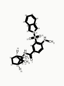 CNc1ccc(C(=O)N[C@H]2C[C@H]3CC[C@@H]2C3(C)C)cc1S(=O)(=O)n1cc2ccccc2c1